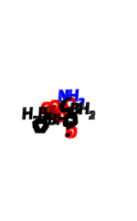 BC(B)(c1ccccc1)S(=O)(=O)OC1=C(N)O[C@](B)(c2ccc(OC)cc2)C1=O